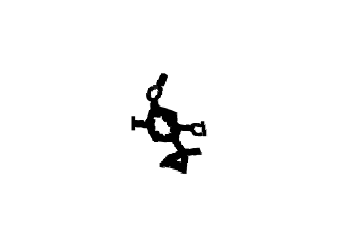 COc1cc(Cl)c(C2(C)CC2)cc1I